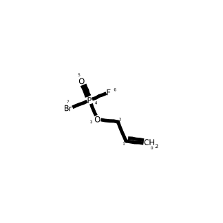 C=CCOP(=O)(F)Br